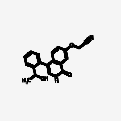 CC(O)c1ccccc1-c1c[nH]c(=O)c2cc(OCC#N)ccc12